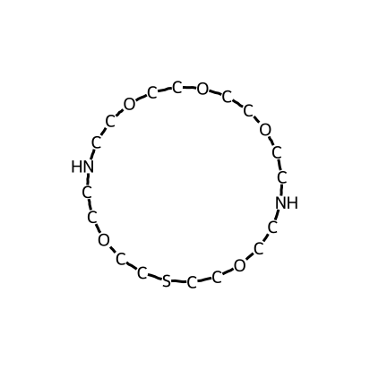 C1COCCOCCOCCNCCOCCSCCOCCN1